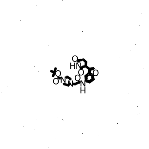 CC(C)(C)OC(=O)N1CCN(CC(=O)Nc2ccc3occ(C4CCC(=O)NC4=O)c3c2)CC1